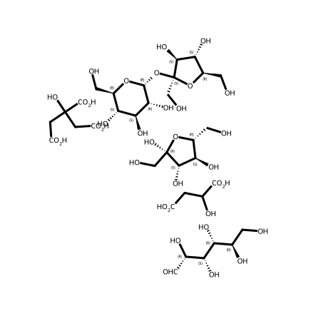 O=C(O)CC(O)(CC(=O)O)C(=O)O.O=C(O)CC(O)C(=O)O.O=C[C@H](O)[C@@H](O)[C@H](O)[C@H](O)CO.OC[C@H]1O[C@@](CO)(O[C@H]2O[C@H](CO)[C@@H](O)[C@H](O)[C@H]2O)[C@@H](O)[C@@H]1O.OC[C@H]1O[C@](O)(CO)[C@@H](O)[C@@H]1O